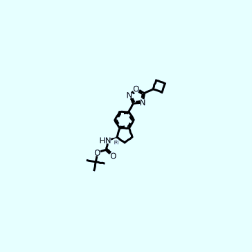 CC(C)(C)OC(=O)N[C@@H]1CCc2cc(-c3noc(C4CCC4)n3)ccc21